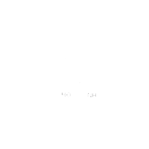 CC1CCCC(N)(O)C1C